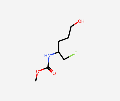 COC(=O)NC(CF)CCCO